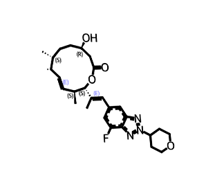 C/C(=C\c1cc(F)c2nn(C3CCOCC3)nc2c1)[C@H]1OC(=O)C[C@H](O)CC[C@@H](C)[CH]/C=C/[C@@H]1C